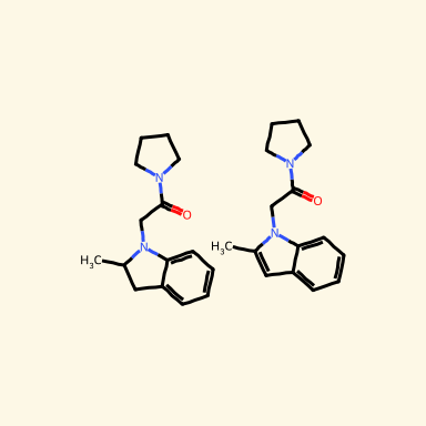 CC1Cc2ccccc2N1CC(=O)N1CCCC1.Cc1cc2ccccc2n1CC(=O)N1CCCC1